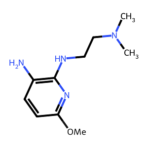 COc1ccc(N)c(NCCN(C)C)n1